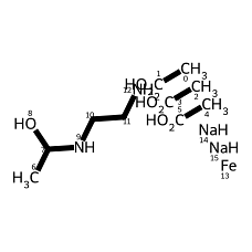 CC(=O)O.CC(=O)O.CC(=O)O.CC(O)NCCN.[Fe].[NaH].[NaH]